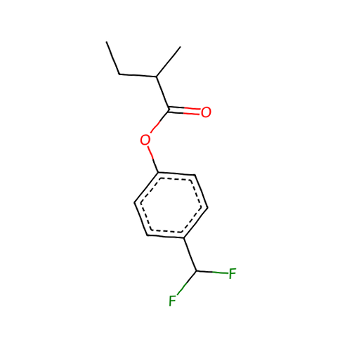 CCC(C)C(=O)Oc1ccc(C(F)F)cc1